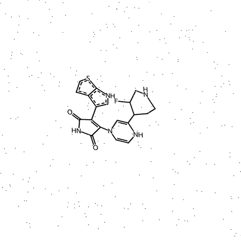 O=C1NC(=O)C(N2C=CNC(C3CCNCC3F)=C2)=C1c1c[nH]c2sccc12